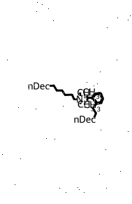 CCCCCCCCCCCCCCCC[N+](C)(C)C(C)(C)c1ccccc1CCCCCCCCCCCC